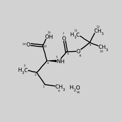 CCC(C)[C@H](NC(=O)OC(C)(C)C)C(=O)O.O